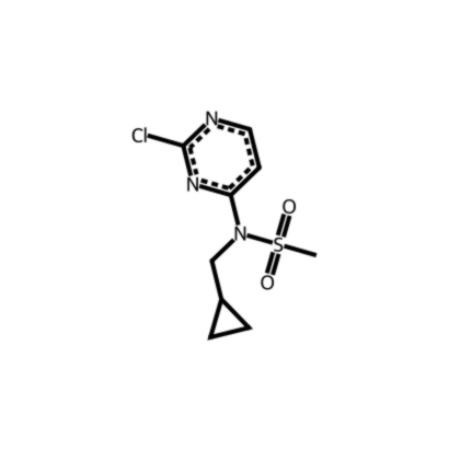 CS(=O)(=O)N(CC1CC1)c1ccnc(Cl)n1